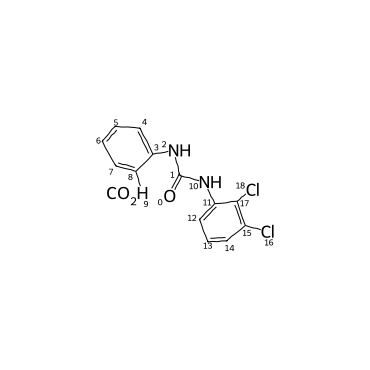 O=C(Nc1ccccc1C(=O)O)Nc1cccc(Cl)c1Cl